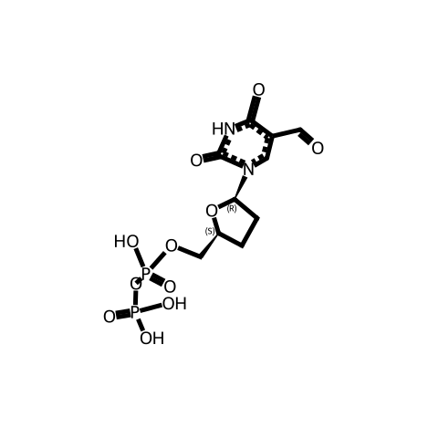 O=Cc1cn([C@H]2CC[C@@H](COP(=O)(O)OP(=O)(O)O)O2)c(=O)[nH]c1=O